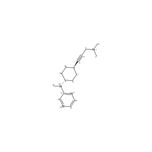 CN(C)CC#C[C@H]1CC[C@H](N(C)c2cnccn2)CC1